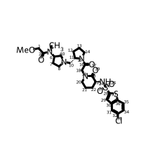 COCC(=O)N(C)C1CCN(C[C@@H]2CCCN2C(=O)CN2CCC[C@H](NS(=O)(=O)c3cc4cc(Cl)ccc4s3)C2=O)C1